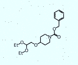 CCOC(COC1CCN(C(=O)OCc2ccccc2)CC1)OCC